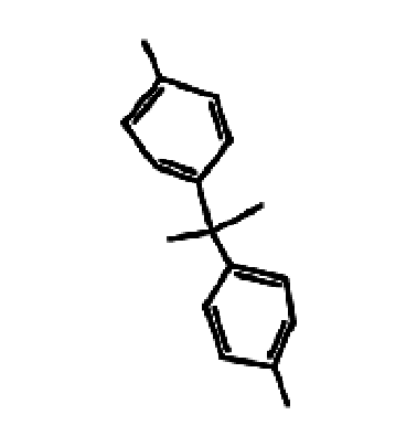 Cc1ccc(C(C)(C)c2ccc(C)cc2)cc1